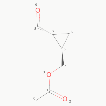 CC(=O)OC[C@@H]1C[C@H]1C=O